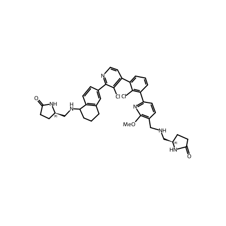 COc1nc(-c2cccc(-c3ccnc(-c4ccc5c(c4)CCCC5NC[C@H]4CCC(=O)N4)c3Cl)c2Cl)ccc1CNC[C@H]1CCC(=O)N1